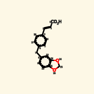 O=C(O)C=Cc1ccc(Cc2ccc3c(c2)OCO3)cc1